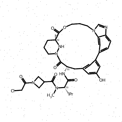 CC(C)[C@@H](C(=O)N[C@H]1Cc2cc(O)cc(c2)-c2ccc3ncn(c3c2)CCCOC(=O)[C@@H]2CCCN(N2)C1=O)N(C)C(=O)C1CN(C(=O)CCl)C1